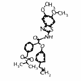 C=NCc1ccc(OC(C(=O)Nc2nc3cc(OC)c(OC)cc3s2)c2cccc(S(=O)(=O)C(C)C)c2)cc1